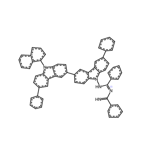 N=C(/N=C(\Nn1c2ccc(-c3ccccc3)cc2c2cc(-c3ccc4c(c3)c3cc(-c5ccccc5)ccc3n4-c3cccc4ccccc34)ccc21)c1ccccc1)c1ccccc1